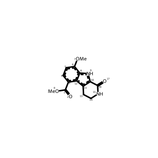 COC(=O)c1ccc(OC)c2[nH]c3c(c12)CCNC3=O